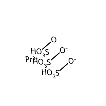 O=S(=O)([O-])O.O=S(=O)([O-])O.O=S(=O)([O-])O.[Pr+3]